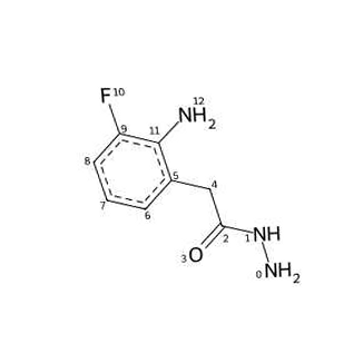 NNC(=O)Cc1cccc(F)c1N